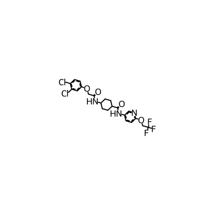 O=C(COc1ccc(Cl)c(Cl)c1)NC1CCC(C(=O)Nc2ccc(OCC(F)(F)F)nc2)CC1